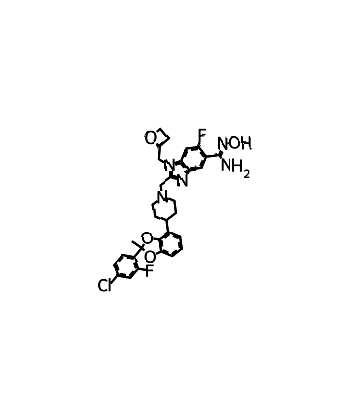 CC1(c2ccc(Cl)cc2F)Oc2cccc(C3CCN(Cc4nc5cc(C(N)=NO)c(F)cc5n4CC4CCO4)CC3)c2O1